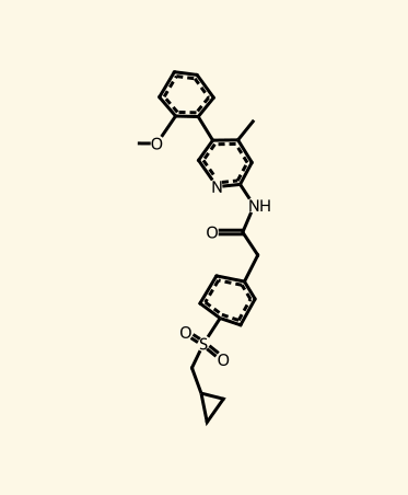 COc1ccccc1-c1cnc(NC(=O)Cc2ccc(S(=O)(=O)CC3CC3)cc2)cc1C